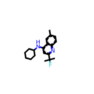 Cc1ccc2nc(C(C)(C)F)cc(NC3CCCCC3)c2c1